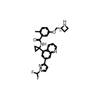 Cc1ccc(OC[C@@H]2CCN2)cc1C(=O)NC1(c2cc(-c3ccn(C(F)F)n3)cc3ncccc23)CC1